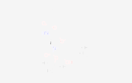 C=CCC(CO)CN(C[C@H](COCCCC)NS(=O)(=O)c1ccccc1)C(=O)OC(C)(C)C